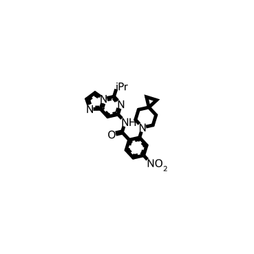 CC(C)c1nc(NC(=O)c2ccc([N+](=O)[O-])cc2N2CCC3(CC2)CC3)cc2nccn12